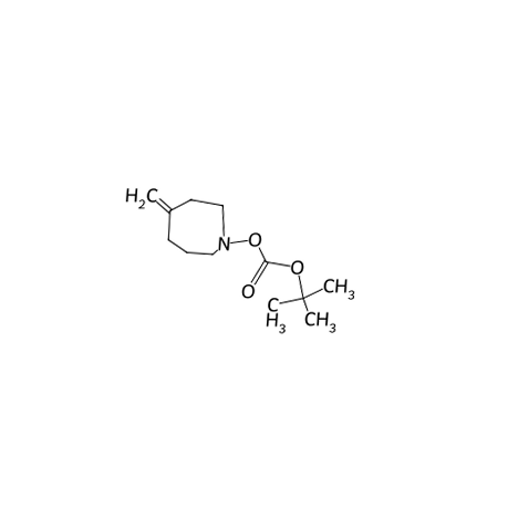 C=C1CCCN(OC(=O)OC(C)(C)C)CC1